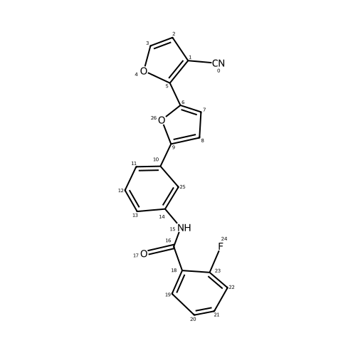 N#Cc1ccoc1-c1ccc(-c2cccc(NC(=O)c3ccccc3F)c2)o1